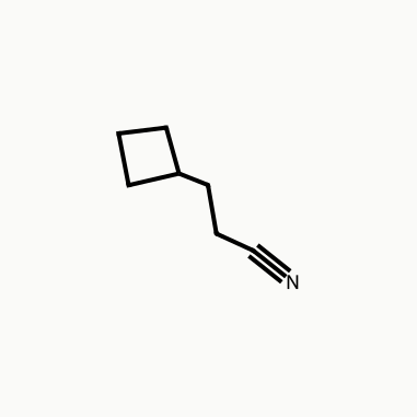 N#CCCC1CCC1